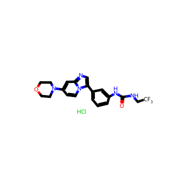 Cl.O=C(NCC(F)(F)F)Nc1cccc(-c2cnc3cc(N4CCOCC4)ccn23)c1